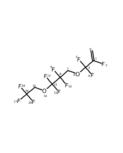 C=C(F)C(F)(F)OCC(F)(F)C(F)(F)OCC(F)(F)F